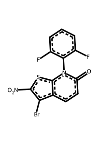 O=c1ccc2c(Br)c([N+](=O)[O-])sc2n1-c1c(F)cccc1F